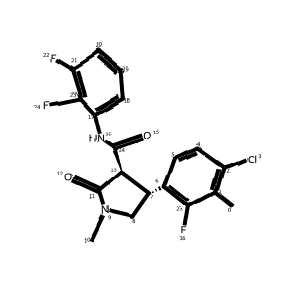 Cc1c(Cl)ccc([C@@H]2CN(C)C(=O)[C@H]2C(=O)Nc2cccc(F)c2F)c1F